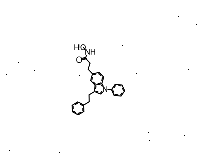 O=C(CCc1ccc2c(c1)c(CCc1ccccc1)cn2-c1ccccc1)NO